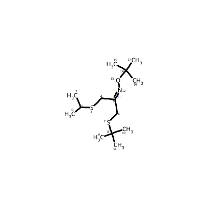 CC(C)SC/C(CSC(C)(C)C)=N\OC(C)(C)C